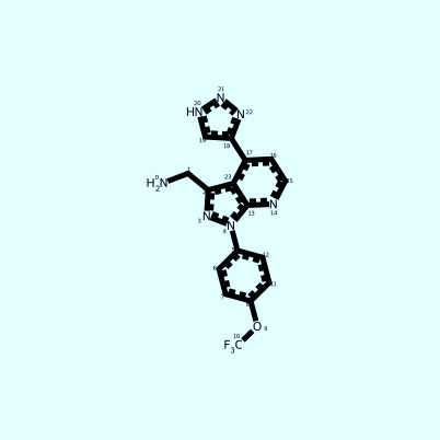 NCc1nn(-c2ccc(OC(F)(F)F)cc2)c2nccc(-c3c[nH]nn3)c12